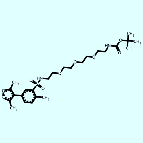 Cc1ccc(-c2c(C)noc2C)cc1S(=O)(=O)NCCOCCOCCOCCNC(=O)OC(C)(C)C